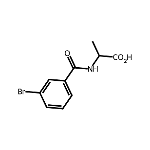 CC(NC(=O)c1cccc(Br)c1)C(=O)O